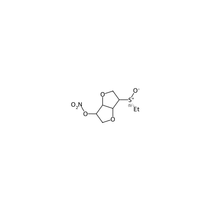 CC[S@@+]([O-])C1COC2C(O[N+](=O)[O-])COC21